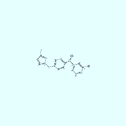 Cc1cnn(Cc2ccc(C(O)c3cncc(Br)c3)cc2)c1